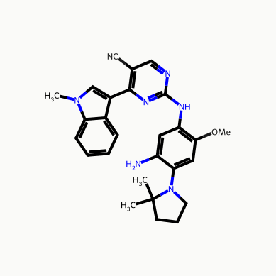 COc1cc(N2CCCC2(C)C)c(N)cc1Nc1ncc(C#N)c(-c2cn(C)c3ccccc23)n1